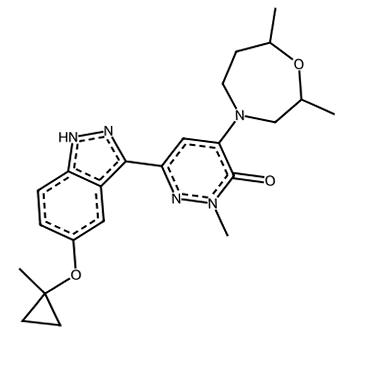 CC1CCN(c2cc(-c3n[nH]c4ccc(OC5(C)CC5)cc34)nn(C)c2=O)CC(C)O1